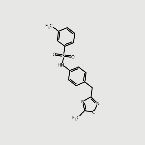 O=S(=O)(Nc1ccc(Cc2noc(C(F)(F)F)n2)cc1)c1cccc(C(F)(F)F)c1